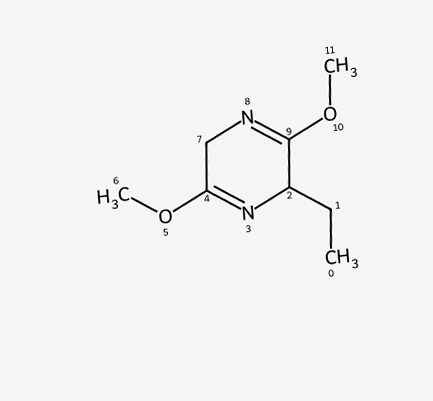 CCC1N=C(OC)CN=C1OC